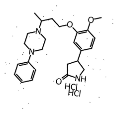 COc1ccc(C2CNC(=O)C2)cc1OCCC(C)N1CCN(c2ccccc2)CC1.Cl.Cl